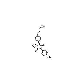 Cc1cc(N2C(=O)C3(CCC3)N(c3ccc(OCCO)cc3)C2=S)cnc1C#N